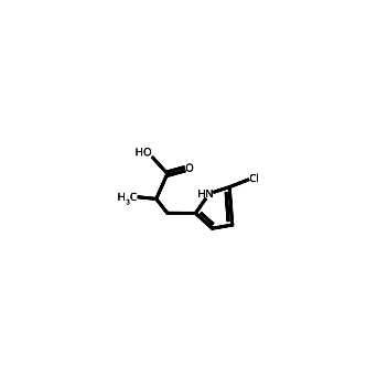 CC(Cc1ccc(Cl)[nH]1)C(=O)O